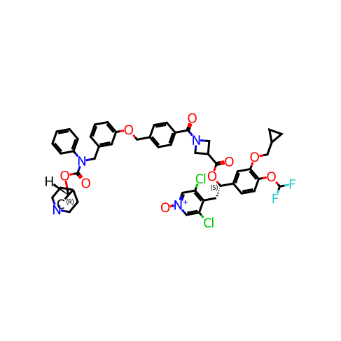 O=C(O[C@@H](Cc1c(Cl)c[n+]([O-])cc1Cl)c1ccc(OC(F)F)c(OCC2CC2)c1)C1CN(C(=O)c2ccc(COc3cccc(CN(C(=O)O[C@H]4CN5CCC4CC5)c4ccccc4)c3)cc2)C1